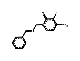 Nc1cnn(COCc2ccccc2)c(=O)c1N